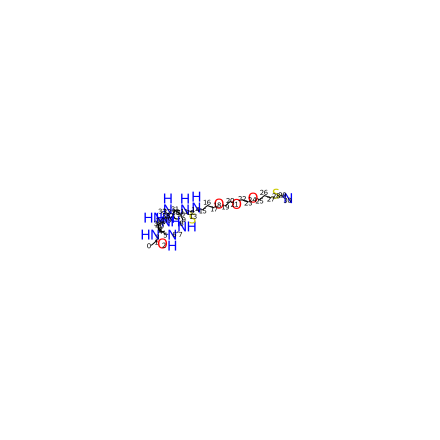 CC(=O)NC12CNCNCC(NC(=S)NCCCOCCOCCOCCCSC#N)(CNCNC1)CNCNC2